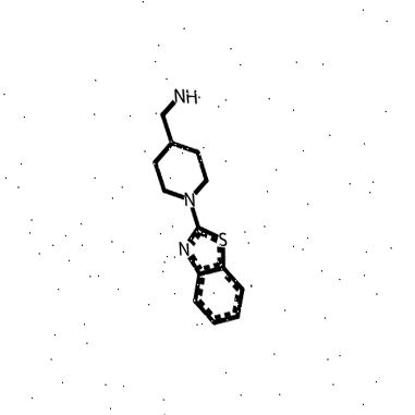 [NH]CC1CCN(c2nc3ccccc3s2)CC1